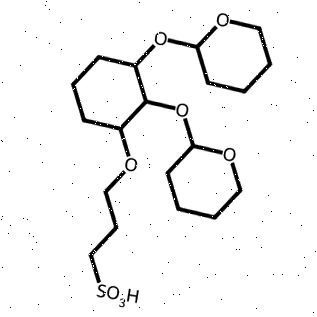 O=S(=O)(O)CCCOC1CCCC(OC2CCCCO2)C1OC1CCCCO1